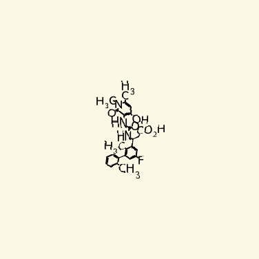 Cc1ccccc1-c1cc(F)cc([C@H](CC(=O)O)NC(=O)Nc2c(O)cc(C)n(C)c2=O)c1C